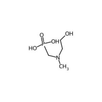 CN(CCO)CP(=O)(O)O